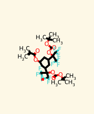 C=C(C)C(=O)OC1CC(C(OC(=O)OC(C)(C)C)(C(F)(F)F)C(F)(F)F)CC(C(OC(=O)OC(C)(C)C)(C(F)(F)F)C(F)(F)F)C1